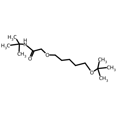 CC(C)(C)NC(=O)COCCCCCOC(C)(C)C